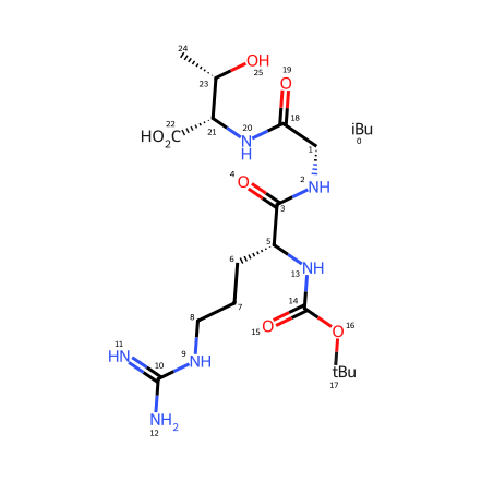 CC[C@H](C)[C@H](NC(=O)[C@@H](CCCNC(=N)N)NC(=O)OC(C)(C)C)C(=O)N[C@H](C(=O)O)[C@H](C)O